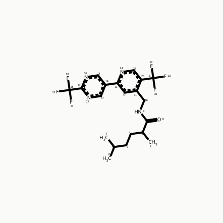 CC(C)CCC(C)C(=O)NCc1cc(-c2cnc(C(F)(F)F)nc2)ncc1C(F)(F)F